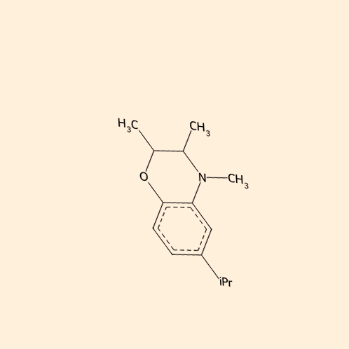 CC(C)c1ccc2c(c1)N(C)C(C)C(C)O2